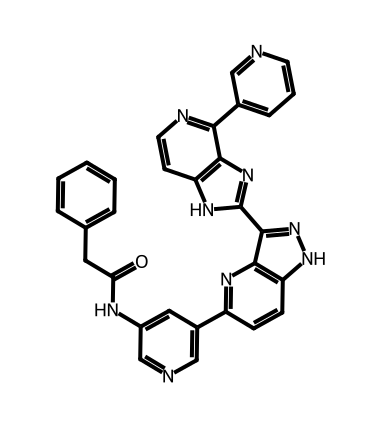 O=C(Cc1ccccc1)Nc1cncc(-c2ccc3[nH]nc(-c4nc5c(-c6cccnc6)nccc5[nH]4)c3n2)c1